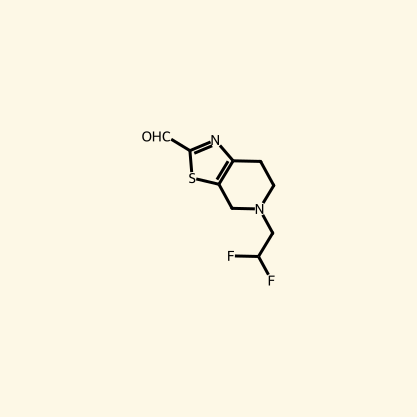 O=Cc1nc2c(s1)CN(CC(F)F)CC2